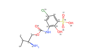 CC(C)[C@H](N)COC(=O)Nc1cc(Cl)cc(S(=O)(=O)O)c1O